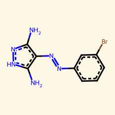 Nc1n[nH]c(N)c1N=Nc1cccc(Br)c1